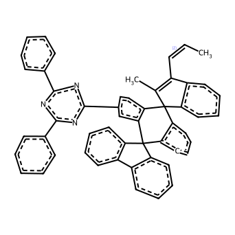 C/C=C\C1=C(C)C2(c3ccccc31)c1ccccc1C1(c3ccccc3-c3ccccc31)c1cc(-c3nc(-c4ccccc4)nc(-c4ccccc4)n3)ccc12